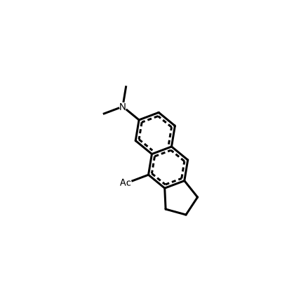 CC(=O)c1c2c(cc3ccc(N(C)C)cc13)CCC2